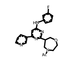 CC(=O)N1CCOCC(c2nc(Nc3cccc(F)c3)cc(-c3cccnc3)n2)C1